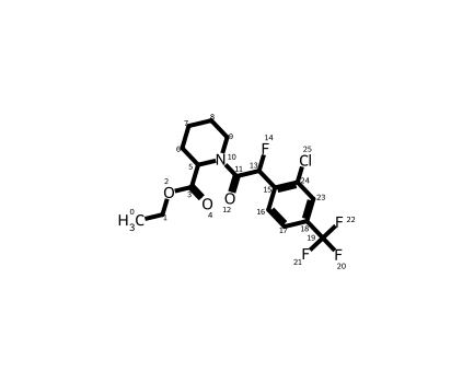 CCOC(=O)C1CCCCN1C(=O)C(F)c1ccc(C(F)(F)F)cc1Cl